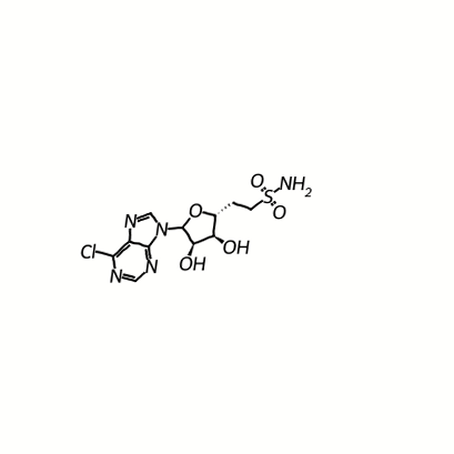 NS(=O)(=O)CC[C@H]1OC(n2cnc3c(Cl)ncnc32)[C@H](O)[C@@H]1O